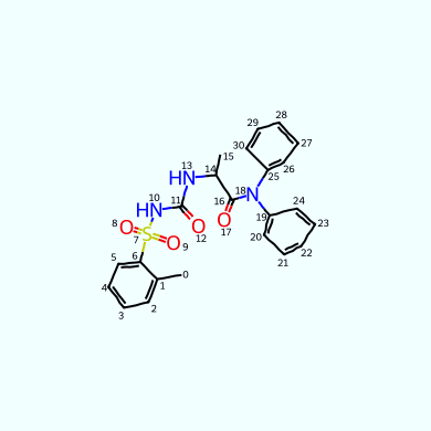 Cc1ccccc1S(=O)(=O)NC(=O)NC(C)C(=O)N(c1ccccc1)c1ccccc1